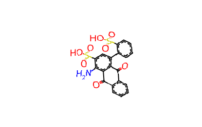 Nc1c(S(=O)(=O)O)cc(-c2ccccc2S(=O)(=O)O)c2c1C(=O)c1ccccc1C2=O